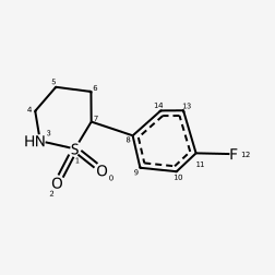 O=S1(=O)NCCCC1c1ccc(F)cc1